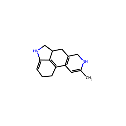 CC1=CC2=C(CN1)CC1CNC3=CCCC2=C31